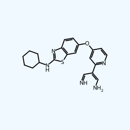 N=C/C(=C\N)c1cc(Oc2ccc3nc(NC4CCCCC4)sc3c2)ccn1